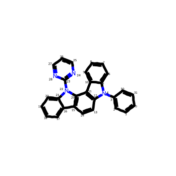 c1ccc(-n2c3ccccc3c3c2ccc2c4ccccc4n(-c4ncccn4)c23)cc1